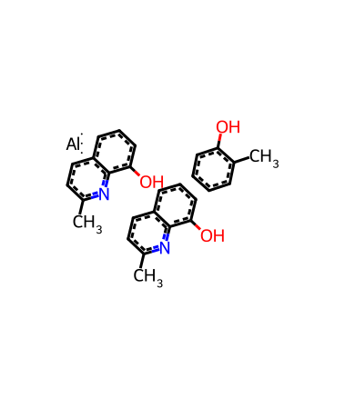 Cc1ccc2cccc(O)c2n1.Cc1ccc2cccc(O)c2n1.Cc1ccccc1O.[Al]